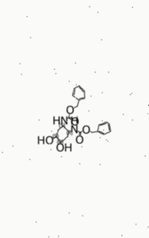 O=C(N[C@H]1C[C@H](O)[C@H](O)C[C@H]1NC(=O)OCc1ccccc1)OCc1ccccc1